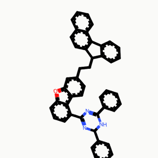 c1ccc(C2=NC(c3cccc4oc5cc(CCC6c7ccccc7-c7c6ccc6ccccc76)ccc5c34)=NC(c3ccccc3)N2)cc1